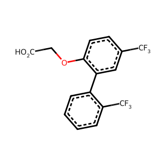 O=C(O)COc1ccc(C(F)(F)F)cc1-c1ccccc1C(F)(F)F